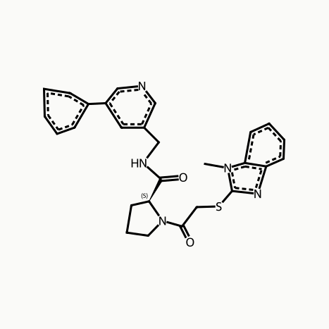 Cn1c(SCC(=O)N2CCC[C@H]2C(=O)NCc2cncc(-c3ccccc3)c2)nc2ccccc21